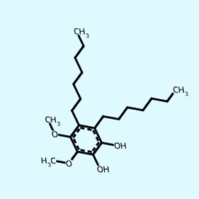 CCCCCCCc1c(O)c(O)c(OC)c(OC)c1CCCCCCC